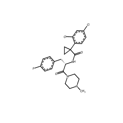 CN1CCN(C(=O)[C@H](Cc2ccc(F)cc2)NC(=O)C2(c3ccc(Cl)cc3Cl)CC2)CC1